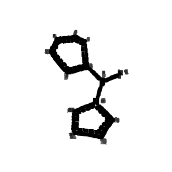 FB(c1ccccc1)n1cccc1